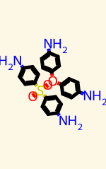 Nc1ccc(Oc2ccc(N)cc2)cc1.Nc1ccc(S(=O)(=O)c2ccc(N)cc2)cc1